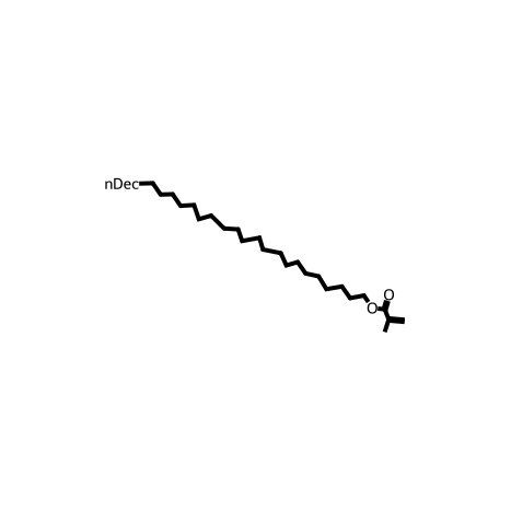 C=C(C)C(=O)OCCCCCCCCCCCCCCCCCCCCCCCCCCCCCCC